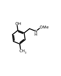 CONCc1cc(C)ccc1O